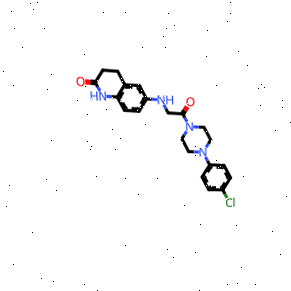 O=C1CCc2cc(NCC(=O)N3CCN(c4ccc(Cl)cc4)CC3)ccc2N1